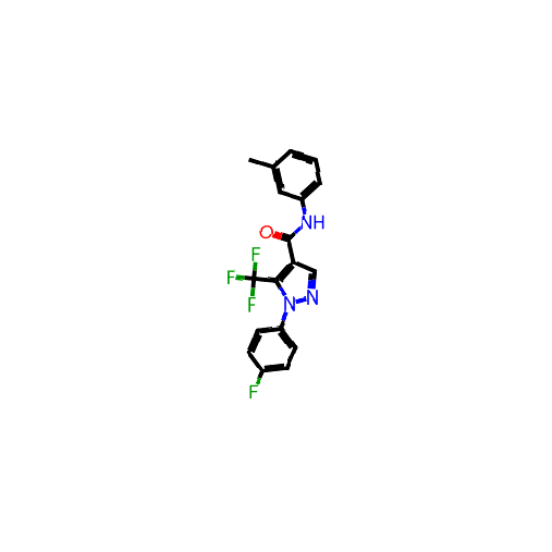 Cc1cccc(NC(=O)c2cnn(-c3ccc(F)cc3)c2C(F)(F)F)c1